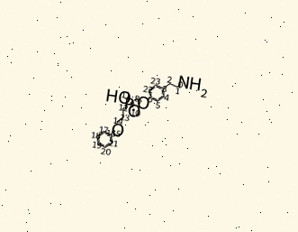 NCCc1ccc(OCP(=O)(O)CCCOc2ccccc2)cc1